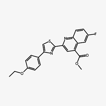 CCOc1ccc(-c2csc(-c3cc(C(=O)OC)c4cc(F)ccc4n3)n2)cc1